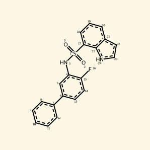 O=S(=O)(Nc1cc(-c2ccccc2)ccc1F)c1cccc2cc[nH]c12